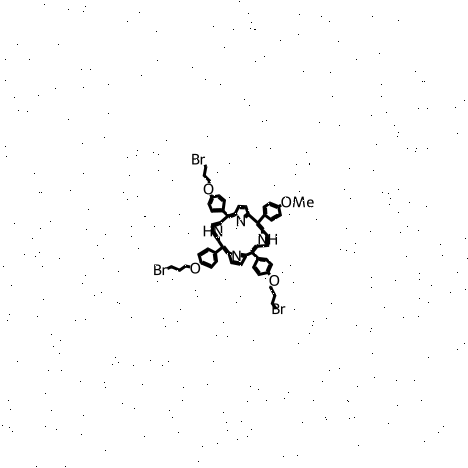 COc1ccc(-c2c3nc(c(-c4ccc(OCCCBr)cc4)c4ccc([nH]4)c(-c4ccc(OCCCBr)cc4)c4nc(c(-c5ccc(OCCCBr)cc5)c5ccc2[nH]5)C=C4)C=C3)cc1